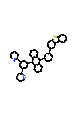 c1ccc(-c2cc(-c3ccccn3)cc(-c3c4ccccc4c(-c4cccc(-c5ccc6sc7ccccc7c6c5)c4)c4ccccc34)c2)nc1